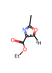 [2H]c1oc(C)nc1C(=O)OCC